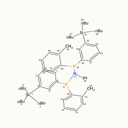 CCCC[Si](CCCC)(CCCC)c1cccc(P(c2ccccc2C)N(C(C)C)P(c2cccc([Si](CCCC)(CCCC)CCCC)c2)c2ccccc2C)c1